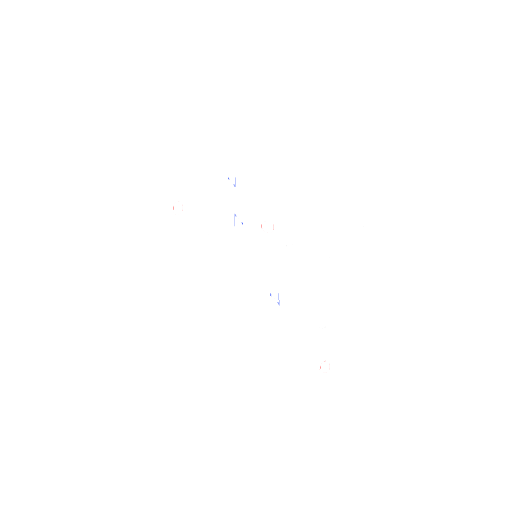 Cc1nnc(C(CN2C(=O)c3ccccc3C2=O)c2ccccc2)o1